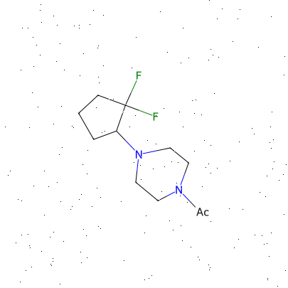 CC(=O)N1CCN(C2CCCC2(F)F)CC1